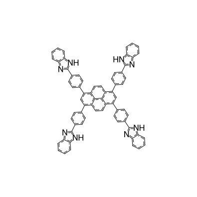 c1ccc2[nH]c(-c3ccc(-c4cc(-c5ccc(-c6nc7ccccc7[nH]6)cc5)c5ccc6c(-c7ccc(-c8nc9ccccc9[nH]8)cc7)cc(-c7ccc(-c8nc9ccccc9[nH]8)cc7)c7ccc4c5c76)cc3)nc2c1